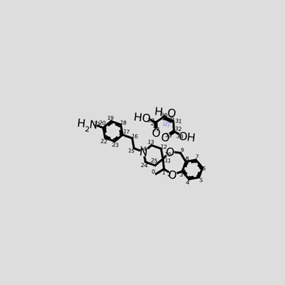 CC1Oc2ccccc2COC12CCN(CCc1ccc(N)cc1)CC2.O.O=C(O)/C=C\C(=O)O